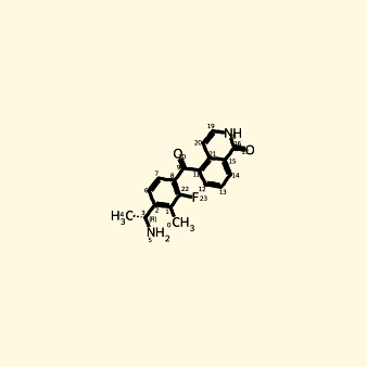 Cc1c([C@@H](C)N)ccc(C(=O)c2cccc3c(=O)[nH]ccc23)c1F